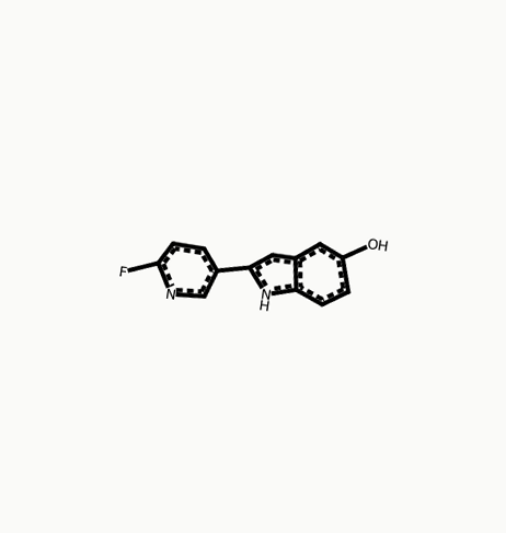 Oc1ccc2[nH]c(-c3ccc(F)nc3)cc2c1